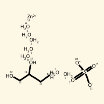 O.O.O.O.O.O.O.O=S(=O)([O-])[O-].OCC(O)CO.[Zn+2]